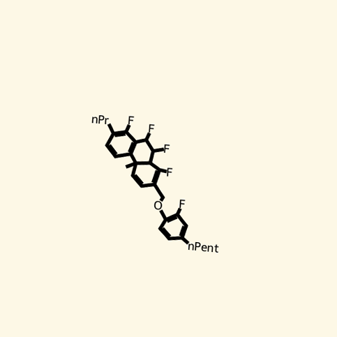 CCCCCc1ccc(OCC2=C(F)C3C(F)C(F)c4c(ccc(CCC)c4F)C3(C)C=C2)c(F)c1